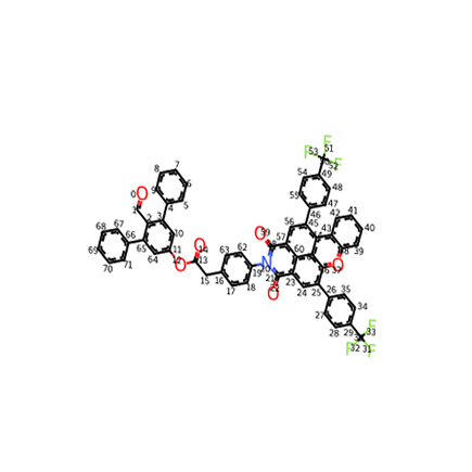 O=Cc1c(-c2ccccc2)cc(OC(=O)Cc2ccc(-n3c(=O)c4cc(-c5ccc(C(F)(F)F)cc5)c5oc6ccccc6c6c(-c7ccc(C(F)(F)F)cc7)cc(c3=O)c4c56)cc2)cc1-c1ccccc1